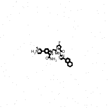 C=N/C=C(\C=C/N)c1ccc2c(c1)c(C(N)=O)nn2CC(=O)N1C[C@H](F)CC1C(=O)Nc1nc(-c2ccc3c(c2)CCCC3)cs1